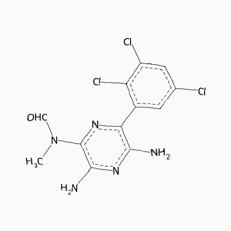 CN(C=O)c1nc(-c2cc(Cl)cc(Cl)c2Cl)c(N)nc1N